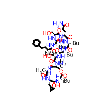 CC[C@@H](C)[C@@H](NC(=O)[C@@H](CCC(N)=O)NC(=O)[C@H](CO)NC(=O)[C@@H](NC(=O)[C@@H](CCc1ccccc1)NC)[C@@H](C)CC)C(=O)N[C@H](C(=O)N[C@@H](CO)C(=O)N[C@H]1C(=O)N[C@@H](C)C(=O)N[C@@H](CC2CC2)C(O)N[C@@H]([C@@H](C)CC)C(=O)O[C@H]1C)[C@@H](C)CC